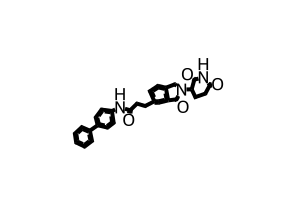 O=C1CCC(N2Cc3ccc(CCC(=O)Nc4ccc(-c5ccccc5)cc4)cc3C2=O)C(=O)N1